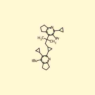 CC(C)c1c(C2CC2)nc2c(c1C(C)(C)CC1CC1c1nc3c(c(C(C)(C)C)c1C1CC1)CCC3)CCC2